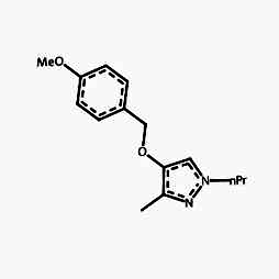 CCCn1cc(OCc2ccc(OC)cc2)c(C)n1